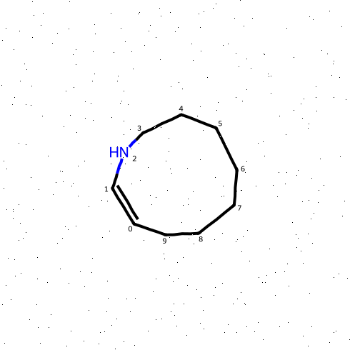 C1=CNCCCCCCC1